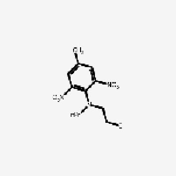 CCCN(CCCl)c1c([N+](=O)[O-])cc(C)cc1[N+](=O)[O-]